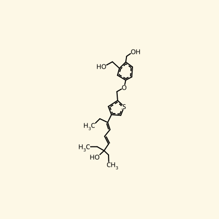 CCC(=CC=CC(O)(CC)CC)c1csc(COc2ccc(CO)c(CO)c2)c1